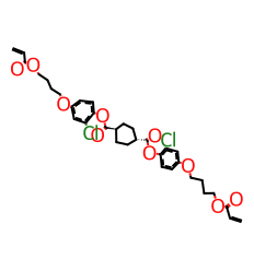 C=CC(=O)OCCCCOc1ccc(OC(=O)[C@H]2CC[C@H](C(=O)Oc3ccc(OCCCCOC(=O)C=C)cc3Cl)CC2)c(Cl)c1